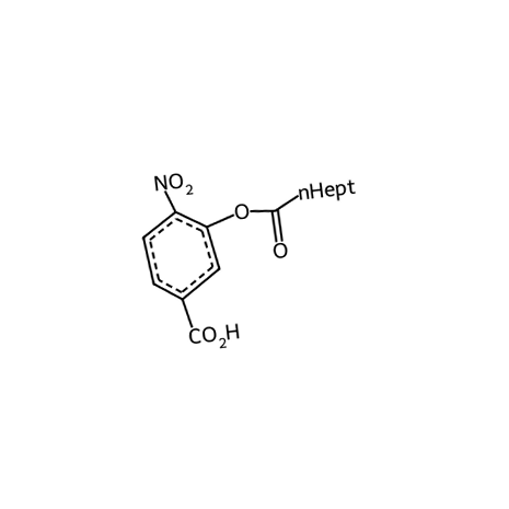 CCCCCCCC(=O)Oc1cc(C(=O)O)ccc1[N+](=O)[O-]